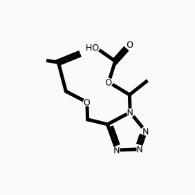 C=C(C)COCc1nnnn1C(C)OC(=O)O